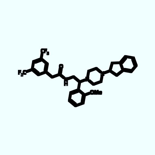 COc1ccccc1C(CNC(=O)Cc1cc(C(F)(F)F)cc(C(F)(F)F)c1)N1CCN(C2Cc3ccccc3C2)CC1